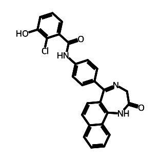 O=C1CN=C(c2ccc(NC(=O)c3cccc(O)c3Cl)cc2)c2ccc3ccccc3c2N1